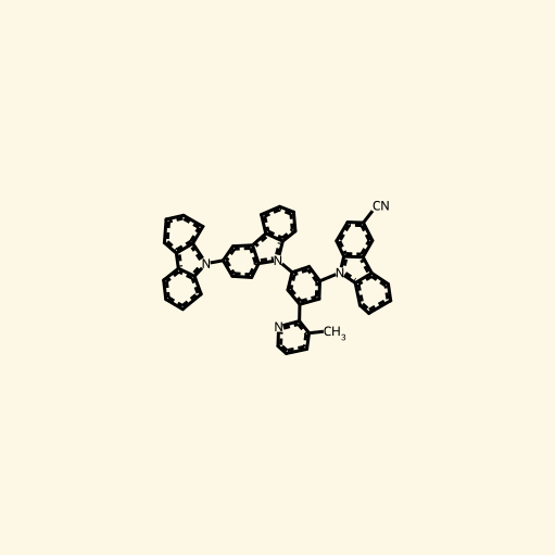 Cc1cccnc1-c1cc(-n2c3ccccc3c3cc(C#N)ccc32)cc(-n2c3ccccc3c3cc(-n4c5ccccc5c5ccccc54)ccc32)c1